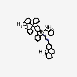 CC12CCCC=C1C(C1=CCCC=C1)(C1CCCC(c3ccccc3/C(=C\C=C\C3=CC4CCC5CCC=CC5C4(C)C=C3)NC(N)C3=CCCCC3)C1)C1C=CC=CC1O2